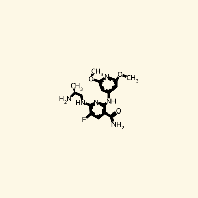 COc1cc(Nc2nc(NC[C@H](C)N)c(F)cc2C(N)=O)cc(OC)n1